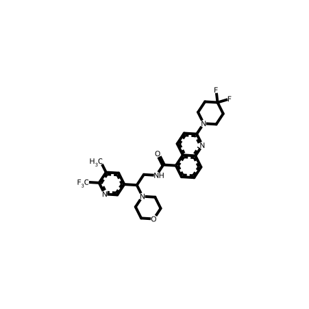 Cc1cc(C(CNC(=O)c2cccc3nc(N4CCC(F)(F)CC4)ccc23)N2CCOCC2)cnc1C(F)(F)F